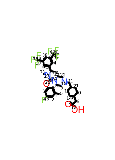 Cc1cc(F)ccc1[C@H]1CN(CC2CCC(CC(=O)O)CC2)CCN1C(=O)N(C)[C@H](C)c1cc(C(F)(F)F)cc(C(F)(F)F)c1